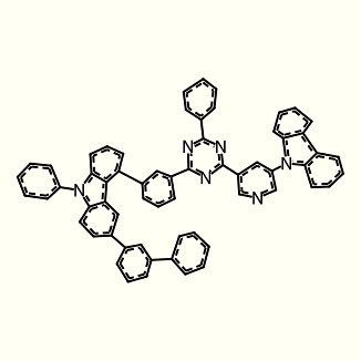 c1ccc(-c2cccc(-c3ccc4c(c3)c3c(-c5cccc(-c6nc(-c7ccccc7)nc(-c7cncc(-n8c9ccccc9c9ccccc98)c7)n6)c5)cccc3n4-c3ccccc3)c2)cc1